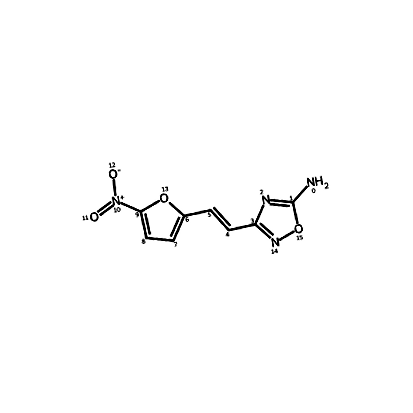 Nc1nc(C=Cc2ccc([N+](=O)[O-])o2)no1